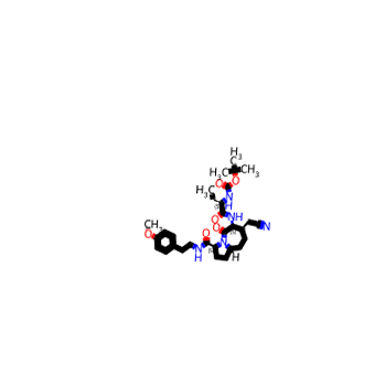 CC[C@H](NC(=O)OC(C)(C)C)C(=O)N[C@@H]1C(=O)N2[C@@H](CC[C@@H]1CC#N)CC[C@H]2C(=O)NCCc1ccc(OC)cc1